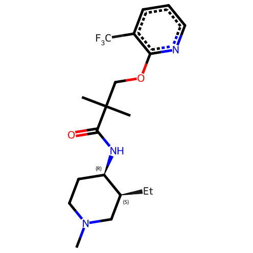 CC[C@H]1CN(C)CC[C@H]1NC(=O)C(C)(C)COc1ncccc1C(F)(F)F